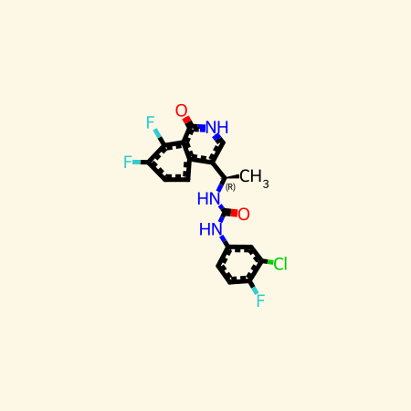 C[C@@H](NC(=O)Nc1ccc(F)c(Cl)c1)c1c[nH]c(=O)c2c(F)c(F)ccc12